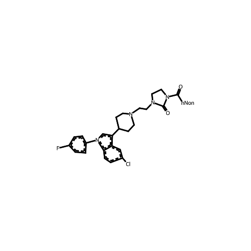 CCCCCCCCCC(=O)N1CCN(CCN2CCC(c3cn(-c4ccc(F)cc4)c4ccc(Cl)cc34)CC2)C1=O